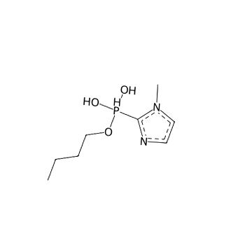 CCCCO[PH](O)(O)c1nccn1C